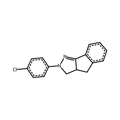 Clc1ccc(N2CC3Cc4ccccc4C3=N2)cc1